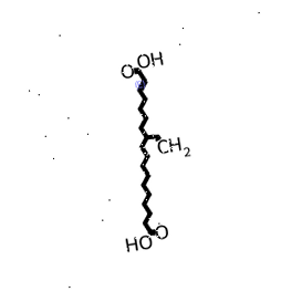 C=CC(CCCC/C=C/C(=O)O)CCCCCCCCCC(=O)O